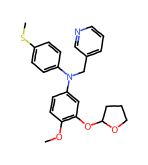 COc1ccc(N(Cc2cccnc2)c2ccc(SC)cc2)cc1OC1CCCO1